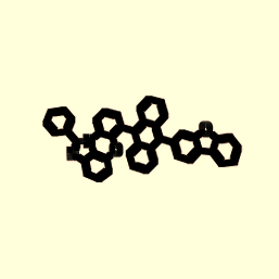 c1ccc(-c2nc3cccc4c3n2-c2cccc(-c3c5ccccc5c(-c5ccc6c(c5)oc5ccccc56)c5ccccc35)c2O4)cc1